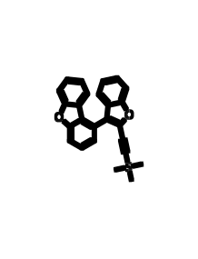 CS(C)(C)C#Cc1oc2ccccc2c1-c1cccc2oc3ccccc3c12